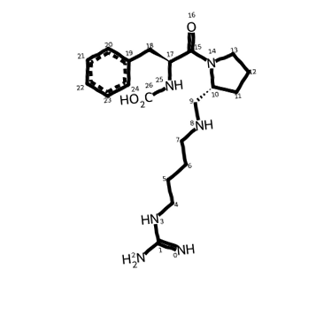 N=C(N)NCCCCNC[C@H]1CCCN1C(=O)[C@H](Cc1ccccc1)NC(=O)O